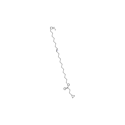 CCCCCCCC/C=C/CCCCCCCCCCCCOC(=O)CCC1CC1